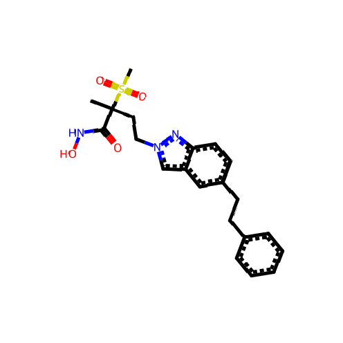 CC(CCn1cc2cc(CCc3ccccc3)ccc2n1)(C(=O)NO)S(C)(=O)=O